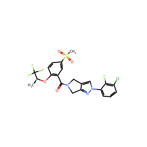 C[C@H](Oc1ccc(S(C)(=O)=O)cc1C(=O)N1Cc2cn(-c3cccc(Cl)c3F)nc2C1)C(F)(F)F